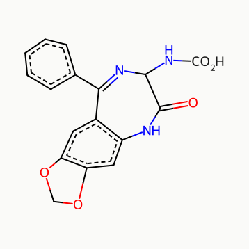 O=C(O)NC1N=C(c2ccccc2)c2cc3c(cc2NC1=O)OCO3